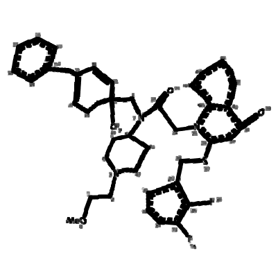 COCCN1CCC(N(CC2(C(F)(F)F)C=CC(c3ccccc3)=CC2)C(=O)Cn2c(SCc3cccc(F)c3F)cc(=O)c3ccccc32)CC1